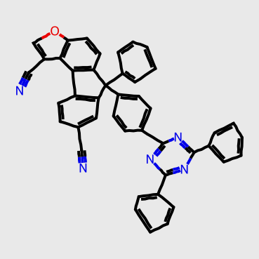 N#Cc1ccc2c(c1)C(c1ccccc1)(c1ccc(-c3nc(-c4ccccc4)nc(-c4ccccc4)n3)cc1)c1ccc3occ(C#N)c3c1-2